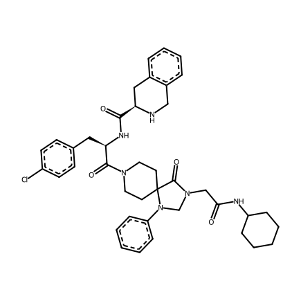 O=C(CN1CN(c2ccccc2)C2(CCN(C(=O)[C@@H](Cc3ccc(Cl)cc3)NC(=O)[C@H]3Cc4ccccc4CN3)CC2)C1=O)NC1CCCCC1